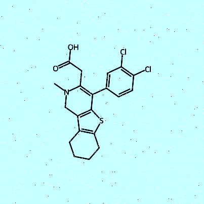 CN1Cc2c(sc3c2CCCC3)C(c2ccc(Cl)c(Cl)c2)=C1CC(=O)O